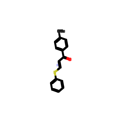 COc1ccc(C(=O)/C=C/Sc2ccccc2)cc1